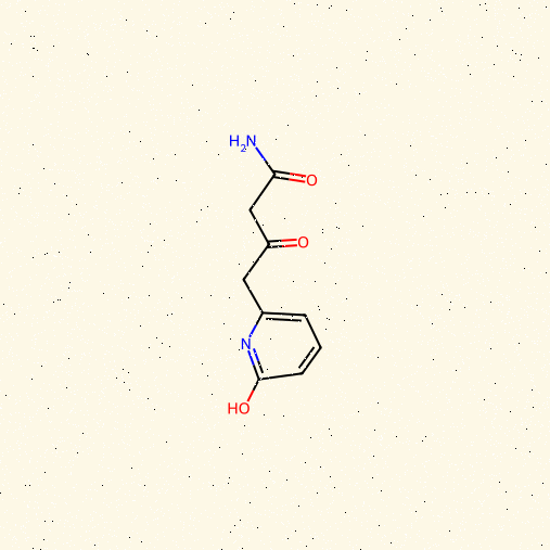 NC(=O)CC(=O)Cc1cccc(O)n1